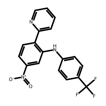 O=[N+]([O-])c1ccc(-c2ccccn2)c(Nc2ccc(C(F)(F)F)cc2)c1